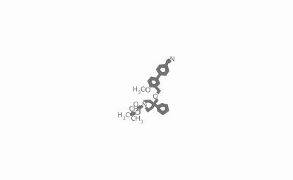 COc1ccc(-c2ccc(C#N)cc2)cc1COCC1(c2ccccc2)CCN(C(=O)OC(C)(C)C)CC1